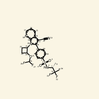 C[C@@H](NS(=O)(=O)c1ccc(-c2c(C#N)c3cccnc3n2C2CCC2OC(F)F)cc1)C(F)(F)F